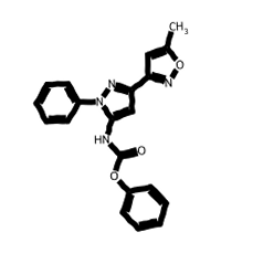 Cc1cc(-c2cc(NC(=O)Oc3ccccc3)n(-c3ccccc3)n2)no1